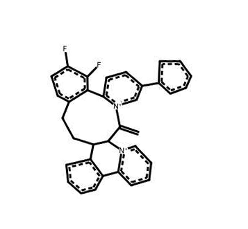 C=C1C2C(CCc3ccc(F)c(F)c3-c3ccc(-c4ccccc4)c[n+]31)c1ccccc1-c1cccc[n+]12